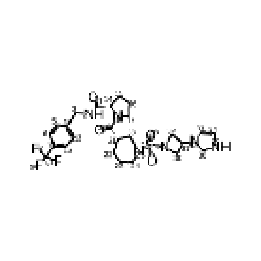 O=C(NCc1ccc(C(F)(F)F)cc1)[C@H]1CCCN1C(=O)[C@H]1CCCN(S(=O)(=O)N2CC(N3C=CNC3)C2)C1